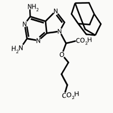 C1C2CC3CC1CC(C2)C3.Nc1nc(N)c2ncn(C(OCCCC(=O)O)C(=O)O)c2n1